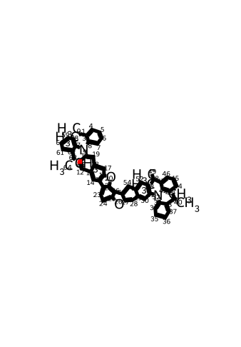 CC(C)c1ccccc1N(c1ccc2cc3c(cc2c1)oc1c3ccc2oc3cc4cc(N(c5ccccc5C(C)C)c5ccccc5C(C)C)ccc4cc3c21)c1ccccc1C(C)C